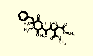 COC(=O)c1onc(C(C)C2NC(=O)C(C)(Cc3ccccc3)N(C)C2=O)c1C(=O)OC